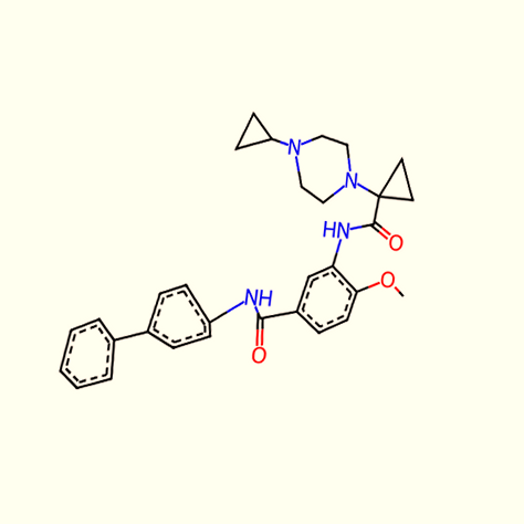 COc1ccc(C(=O)Nc2ccc(-c3ccccc3)cc2)cc1NC(=O)C1(N2CCN(C3CC3)CC2)CC1